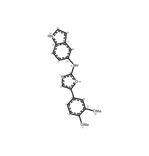 COc1ccc(-c2cnc(Nc3ccc4[nH]ccc4c3)o2)cc1OC